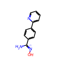 N/C(=N\O)c1ccc(-c2ccccn2)cc1